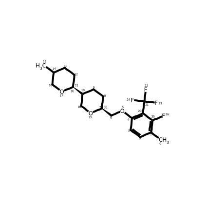 Cc1ccc(OC[C@@H]2CCC([C@@H]3CCC(C)CO3)CO2)c(C(F)(F)F)c1F